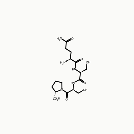 NC(=O)CC[C@H](N)C(=O)N[C@@H](CO)C(=O)N[C@@H](CO)C(=O)N1CCC[C@H]1C(=O)O